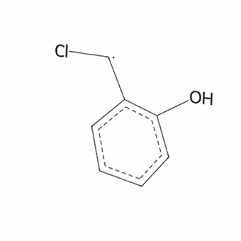 Oc1ccccc1[CH]Cl